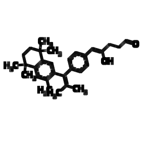 CC(C)=C(c1ccc(/C=C(\O)CCC=O)cc1)c1cc2c(cc1C)C(C)(C)CCC2(C)C